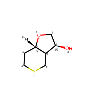 O[C@@H]1CO[C@H]2CCSCC12